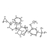 CSc1cc(C(F)(F)F)ccc1C(=O)NC(c1ccccc1)C1(N2CCN(C3CC3)CC2)CCC1